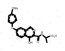 COc1ccc(Oc2ccc3c(O)c(C(=O)NC(C)C(=O)O)ncc3c2)cc1